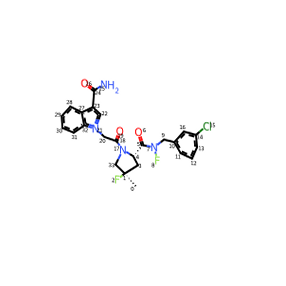 C[C@@]1(F)C[C@@H](C(=O)N(F)Cc2cccc(Cl)c2)N(C(=O)Cn2cc(C(N)=O)c3ccccc32)C1